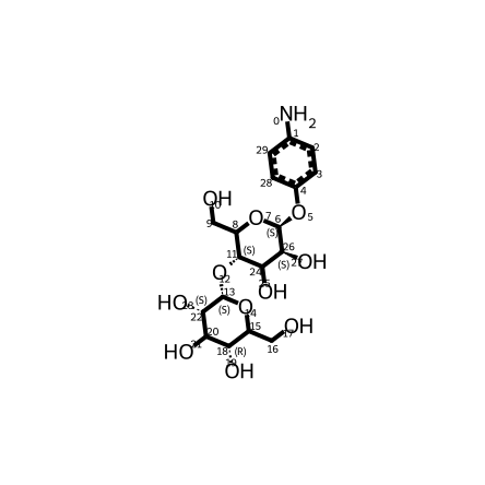 Nc1ccc(O[C@@H]2OC(CO)[C@@H](O[C@@H]3OC(CO)[C@H](O)C(O)[C@@H]3O)C(O)[C@@H]2O)cc1